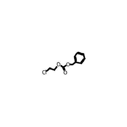 O=C(OCCCl)OCc1ccccc1